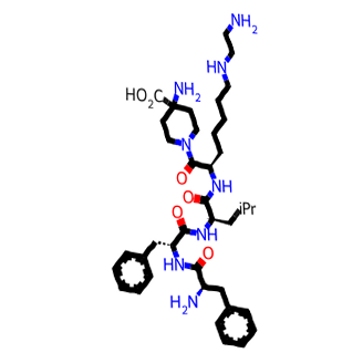 CC(C)C[C@@H](NC(=O)[C@@H](Cc1ccccc1)NC(=O)[C@H](N)Cc1ccccc1)C(=O)N[C@H](CCCCCNCCN)C(=O)N1CCC(N)(C(=O)O)CC1